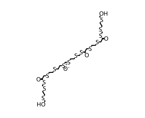 O=C(CSCCSCC[S+]([O-])CSCCSCSC(=O)CSCCSCC(=O)SCSCCSCO)SCSCCSCO